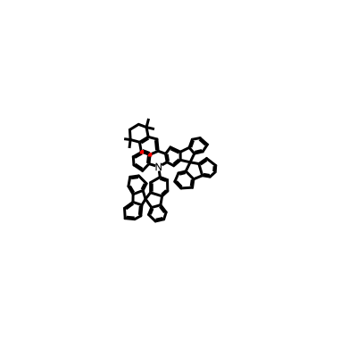 CC1(C)CCC(C)(C)c2cc(-c3cc4c(cc3N(c3ccccc3)c3ccc5c(c3)C3(c6ccccc6-c6ccccc63)c3ccccc3-5)C3(c5ccccc5-c5ccccc53)c3ccccc3-4)ccc21